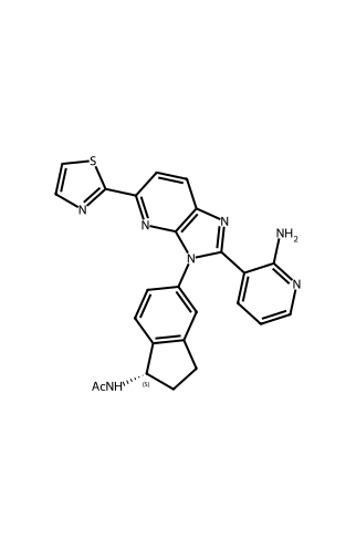 CC(=O)N[C@H]1CCc2cc(-n3c(-c4cccnc4N)nc4ccc(-c5nccs5)nc43)ccc21